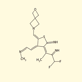 C\N=C/C=C1C(=C\N2CC3(COC3)C2)\SC(=N)C\1=C(\C)C(=N)C(F)F